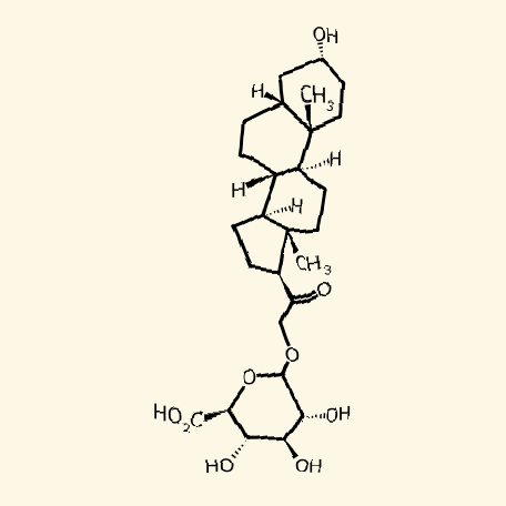 C[C@]12CC[C@@H](O)C[C@H]1CC[C@@H]1[C@@H]2CC[C@]2(C)[C@@H](C(=O)COC3O[C@H](C(=O)O)[C@@H](O)[C@H](O)[C@H]3O)CC[C@@H]12